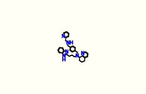 c1ccc(CNCc2ccc(CN(CCCc3nc4ccccc4[nH]3)C3CCCc4cccnc43)cc2)nc1